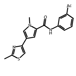 CC(=O)c1cccc(NC(=O)c2cc(-c3csc(C)n3)cn2C)c1